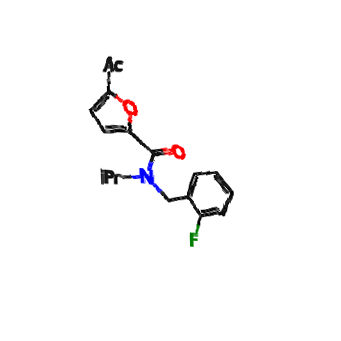 CC(=O)c1ccc(C(=O)N(Cc2ccccc2F)C(C)C)o1